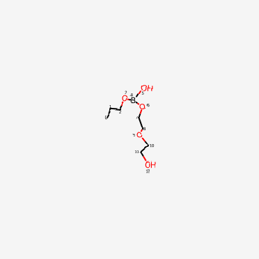 CCCOB(O)OCCOCCO